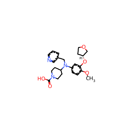 COc1ccc(N(Cc2cccnc2)C2CCN(C(=O)O)CC2)cc1O[C@@H]1CCOC1